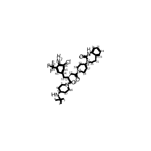 CC(C)(C)NC1CCN(C(=O)[C@H](CC(=O)N2CCC(N3CCc4ccccc4NC3=O)CC2)Cc2cc(Cl)c(N)c(C(F)(F)F)c2)CC1